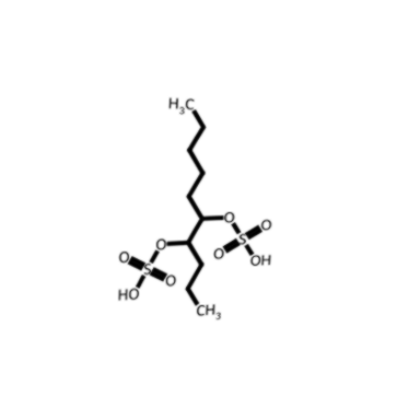 CCCCCC(OS(=O)(=O)O)C(CCC)OS(=O)(=O)O